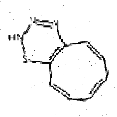 c1cccc2s[nH]nnc=2cc1